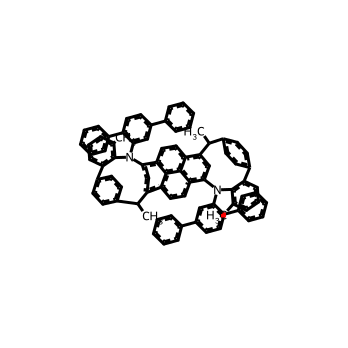 Cc1cccc2c1N(c1cc(-c3ccccc3)ccc1-c1ccccc1)c1cc(c3ccc4c5cc(c6ccc1c3c64)C(C)c1ccc(cc1)-c1cccc(C)c1N5c1cc(-c3ccccc3)ccc1-c1ccccc1)C(C)c1ccc-2cc1